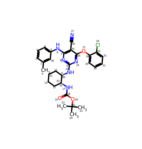 Cc1cccc(Nc2nc(N[C@@H]3CCCC[C@@H]3NC(=O)OC(C)(C)C)nc(Oc3ccccc3Cl)c2C#N)c1